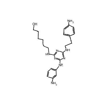 Nc1ccc(CCNc2nc(NCCCCCCO)nc(Nc3cccc(N)c3)n2)cc1